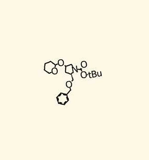 CC(C)(C)OC(=O)N1CC(OC2CCCCO2)C[C@@H]1COCc1ccccc1